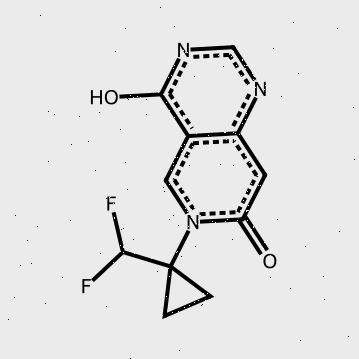 O=c1cc2ncnc(O)c2cn1C1(C(F)F)CC1